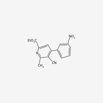 CCOC(=O)c1cc(-c2cccc([N+](=O)[O-])c2)c(C#N)c(C)n1